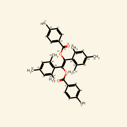 CCCc1ccc(C(=O)O/C(=C(/OC(=O)c2ccc(CCC)cc2)c2c(C)cc(C)cc2C)c2c(C)cc(C)cc2C)cc1